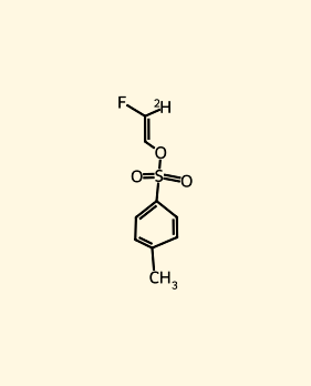 [2H]/C(F)=C\OS(=O)(=O)c1ccc(C)cc1